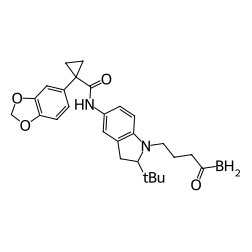 BC(=O)CCCN1c2ccc(NC(=O)C3(c4ccc5c(c4)OCO5)CC3)cc2CC1C(C)(C)C